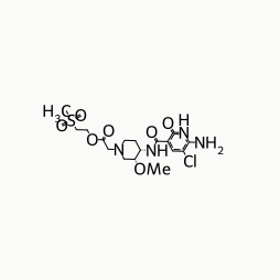 CO[C@@H]1CN(CC(=O)OCCS(C)(=O)=O)CC[C@@H]1NC(=O)c1cc(Cl)c(N)[nH]c1=O